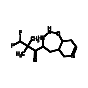 CC(C)(C(=O)C1CC2CN=CCC2ONN1)C(F)F